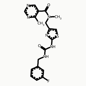 Cc1ncncc1C(=O)N(C)Cc1csc(NC(=O)NCc2cccc(F)c2)n1